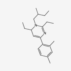 CCC1=NC(c2ccc(C)cc2C)=CC(CC)N1CC(C)CC